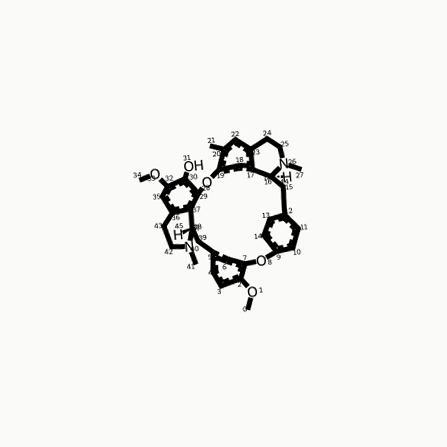 COc1ccc2cc1Oc1ccc(cc1)C[C@H]1c3cc(c(C)cc3CCN1C)Oc1c(O)c(OC)cc3c1[C@H](C2)N(C)CC3